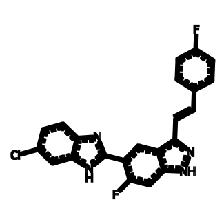 Fc1ccc(/C=C/c2n[nH]c3cc(F)c(-c4nc5ccc(Cl)cc5[nH]4)cc23)cc1